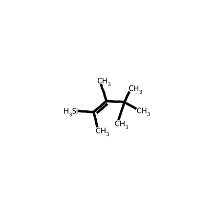 CC([SiH3])=C(C)C(C)(C)C